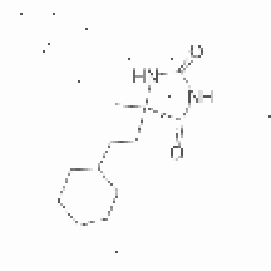 CC1(CCC2CCCCC2)NC(=O)NC1=O